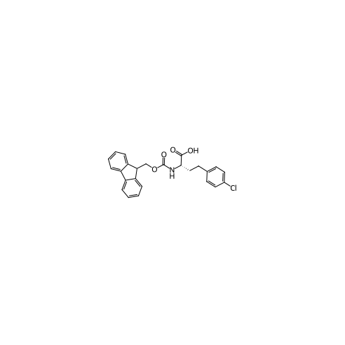 O=C(N[C@@H](CCc1ccc(Cl)cc1)C(=O)O)OCC1c2ccccc2-c2ccccc21